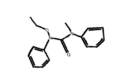 CCON(C(=O)N(C)c1ccccc1)c1ccccc1